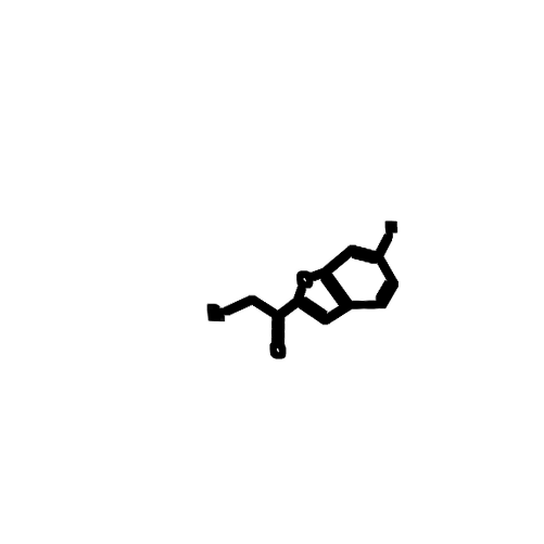 O=C(CBr)c1cc2ccc(F)cc2o1